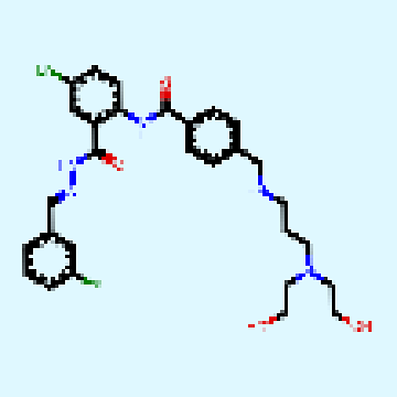 O=C(Nc1ccc(Br)cc1C(=O)NN=Cc1cccc(F)c1)c1ccc(CNCCCN(CCO)CCO)cc1